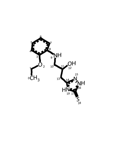 CCOc1ccccc1NCC(O)Cc1n[nH]c(=S)[nH]1